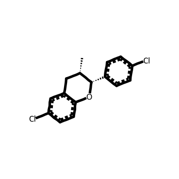 C[C@H]1Cc2cc(Cl)ccc2O[C@H]1c1ccc(Cl)cc1